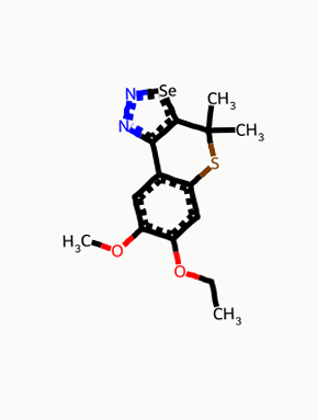 CCOc1cc2c(cc1OC)-c1nn[se]c1C(C)(C)S2